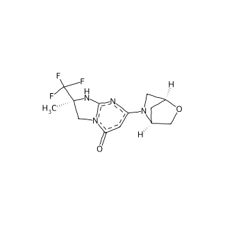 C[C@@]1(C(F)(F)F)Cn2c(nc(N3C[C@@H]4C[C@H]3CO4)cc2=O)N1